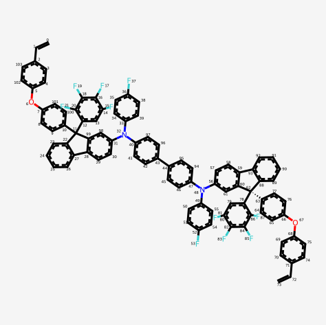 C=Cc1ccc(Oc2ccc(C3(c4cc(F)c(F)c(F)c4F)c4ccccc4-c4ccc(N(c5ccc(F)cc5)c5ccc(-c6ccc(N(c7ccc(F)cc7)c7ccc8c(c7)[C@](c7ccc(Oc9ccc(C=C)cc9)cc7)(c7cc(F)c(F)c(F)c7F)c7ccccc7-8)cc6)cc5)cc43)cc2)cc1